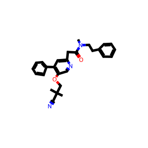 CN(CCc1ccccc1)C(=O)Cc1cc(-c2ccccc2)c(OCC(C)(C)C#N)cn1